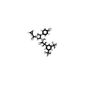 CN(C(=O)C(C)(C)c1cc(C(F)(F)F)cc(C(F)(F)F)c1)[C@@H]1CN(C(=O)C2CC2)C[C@H]1c1ccc(Cl)cc1